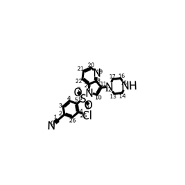 N#Cc1ccc(S(=O)(=O)n2cc(N3CCNCC3)c3ncccc32)c(Cl)c1